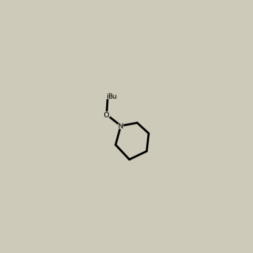 CCC(C)ON1CCCCC1